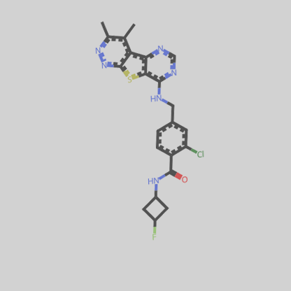 Cc1nnc2sc3c(NCc4ccc(C(=O)NC5CC(F)C5)c(Cl)c4)ncnc3c2c1C